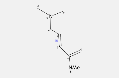 C=C(/C=C/CN(C)C)NC